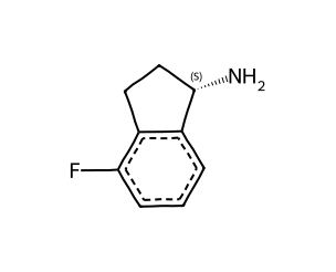 N[C@H]1CCc2c(F)cccc21